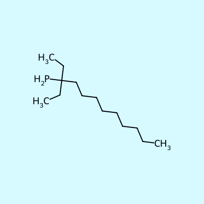 CCCCCCCCCC(P)(CC)CC